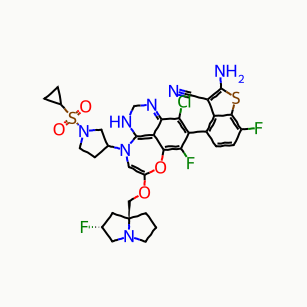 N#Cc1c(N)sc2c(F)ccc(-c3c(F)c4c5c(c3Cl)=NCNC=5N(C3CCN(S(=O)(=O)C5CC5)C3)C=C(OC[C@@]35CCCN3C[C@H](F)C5)O4)c12